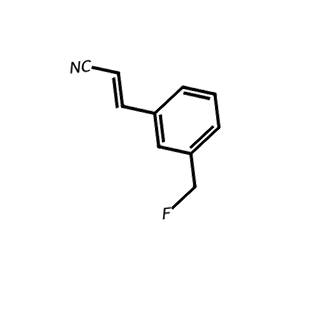 N#CC=Cc1cccc(CF)c1